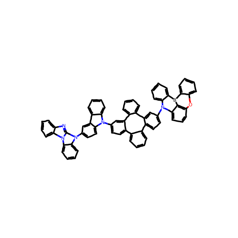 c1ccc2c(c1)Oc1cccc3c1B2c1ccccc1N3c1ccc2c(c1)-c1ccccc1-c1cc(-n3c4ccccc4c4cc(-n5c6ccccc6n6c7ccccc7nc56)ccc43)ccc1-c1ccccc1-2